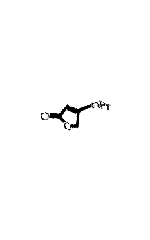 CCCC1=CC(=O)OC1